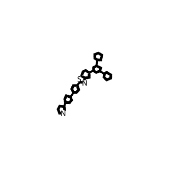 c1ccc(-c2cc(-c3ccccc3)cc(-c3ccc4sc(-c5ccc(-c6ccc(-c7cccnc7)cc6)cc5)nc4c3)c2)cc1